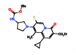 CCOC(=O)c1cc(C2CC2)c2c(C)c(N3CCC(NC(=O)OC(C)(C)C)C3)c(F)cn2c1=O